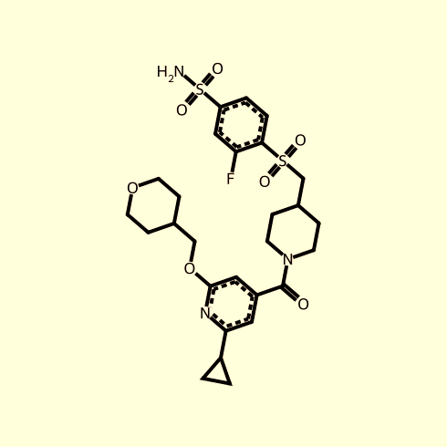 NS(=O)(=O)c1ccc(S(=O)(=O)CC2CCN(C(=O)c3cc(OCC4CCOCC4)nc(C4CC4)c3)CC2)c(F)c1